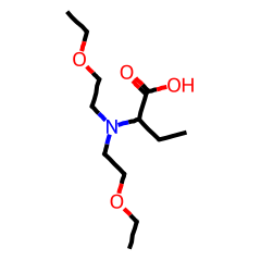 CCOCCN(CCOCC)C(CC)C(=O)O